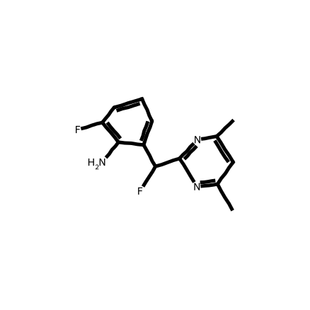 Cc1cc(C)nc(C(F)c2cccc(F)c2N)n1